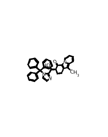 Cc1c2c(n3ccccc13)C(=O)C(C(O)c1nccn1C(c1ccccc1)(c1ccccc1)c1ccccc1)CC2